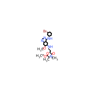 CCOC(=O)C(C)N(C)C(=O)C=CCNc1cc2c(Nc3cccc(Br)c3)ncnc2cc1OC